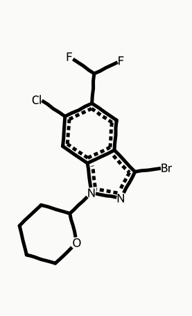 FC(F)c1cc2c(Br)nn(C3CCCCO3)c2cc1Cl